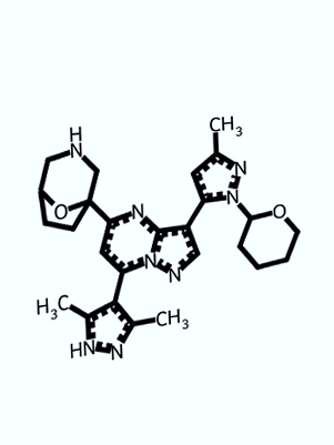 Cc1cc(-c2cnn3c(-c4c(C)n[nH]c4C)cc(C45CCC(CNC4)O5)nc23)n(C2CCCCO2)n1